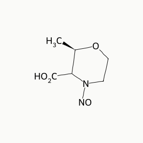 C[C@H]1OCCN(N=O)C1C(=O)O